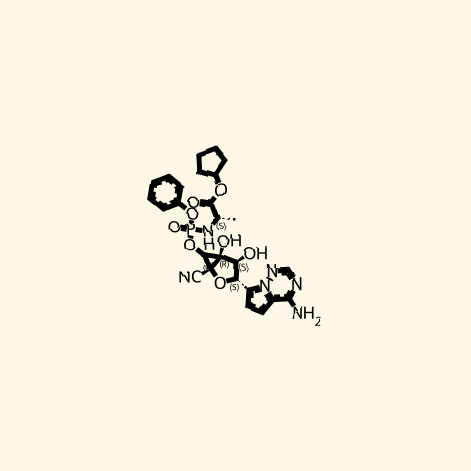 C[C@H](NP(=O)(Oc1ccccc1)OC1[C@@]2(C#N)O[C@@H](c3ccc4c(N)ncnn34)[C@H](O)[C@@]12O)C(=O)OC1CCCC1